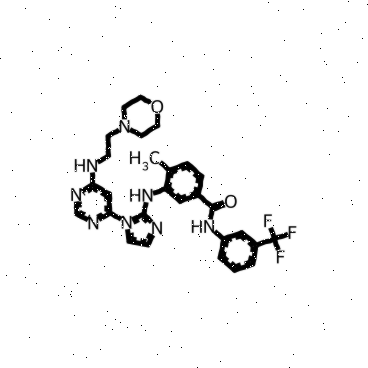 Cc1ccc(C(=O)Nc2cccc(C(F)(F)F)c2)cc1Nc1nccn1-c1cc(NCCN2CCOCC2)ncn1